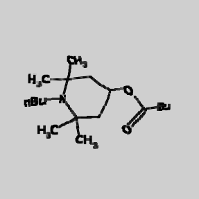 CCCCN1C(C)(C)CC(OC(=O)C(C)CC)CC1(C)C